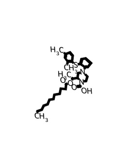 CCCCCCCCCCCC(=O)OC(C)C1CN(c2ccccc2Sc2ccc(C)cc2C)CCN1C(=O)O